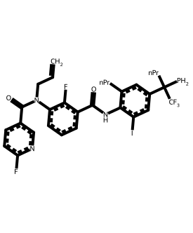 C=CCN(C(=O)c1ccc(F)nc1)c1cccc(C(=O)Nc2c(I)cc(C(P)(CCC)C(F)(F)F)cc2CCC)c1F